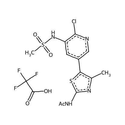 CC(=O)Nc1nc(C)c(-c2cnc(Cl)c(NS(C)(=O)=O)c2)s1.O=C(O)C(F)(F)F